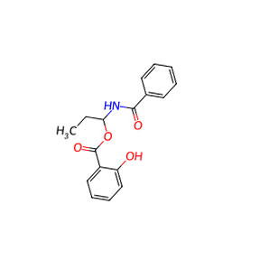 CCC(NC(=O)c1ccccc1)OC(=O)c1ccccc1O